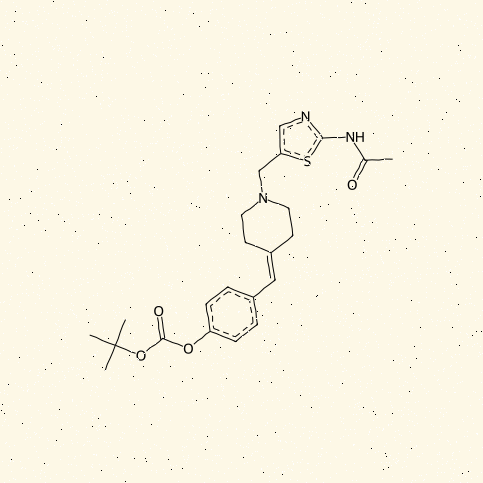 CC(=O)Nc1ncc(CN2CCC(=Cc3ccc(OC(=O)OC(C)(C)C)cc3)CC2)s1